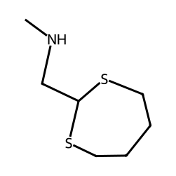 CNCC1SCCCCS1